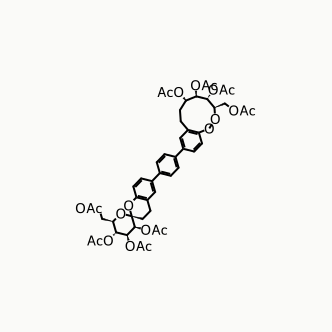 CC(=O)OC[C@H]1OOc2ccc(-c3ccc(-c4ccc5c(c4)CC[C@]4(O5)O[C@H](COC(C)=O)[C@@H](OC(C)=O)[C@H](OC(C)=O)[C@@H]4OC(C)=O)cc3)cc2CC[C@@H](OC(C)=O)[C@@H](OC(C)=O)[C@@H]1OC(C)=O